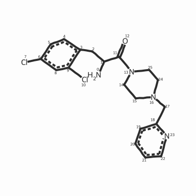 NC(Cc1ccc(Cl)cc1Cl)C(=O)N1CCN(Cc2ccccn2)CC1